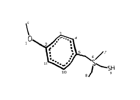 COc1ccc(S(C)(C)S)cc1